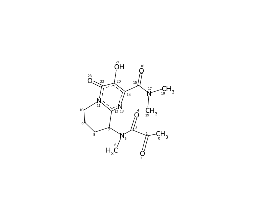 CC(=O)C(=O)N(C)C1CCCn2c1nc(C(=O)N(C)C)c(O)c2=O